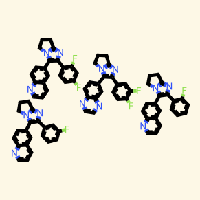 Fc1ccc(-c2nc3n(c2-c2ccc4ncccc4c2)CCC3)c(F)c1.Fc1ccc(-c2nc3n(c2-c2ccc4nccnc4c2)CCC3)cc1F.Fc1cccc(-c2nc3n(c2-c2ccc4ncccc4c2)CCC3)c1.Fc1ccccc1-c1nc2n(c1-c1ccc3ncccc3c1)CCC2